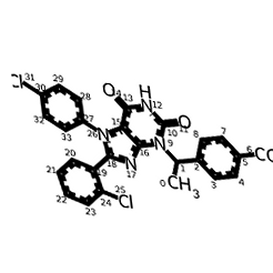 CC(c1ccc(C(=O)O)cc1)n1c(=O)[nH]c(=O)c2c1nc(-c1ccccc1Cl)n2-c1ccc(Cl)cc1